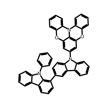 c1ccc(-n2c3ccccc3c3cccc(-c4ccc5c(c4)c4ccccc4n5-c4cc5c6c(c4)Oc4ccccc4N6c4ccccc4O5)c32)cc1